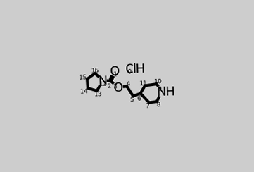 Cl.O=C(OCCC1CCNCC1)N1CCCC1